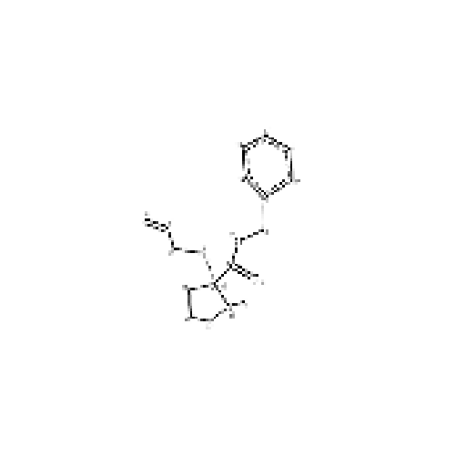 C=CCC[C@@]1(C(=O)OCc2ccccc2)CCCN1C